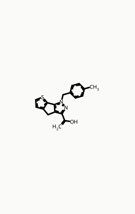 C=C(O)c1nn(Cc2ccc(C)cc2)c2c1Cc1ccsc1-2